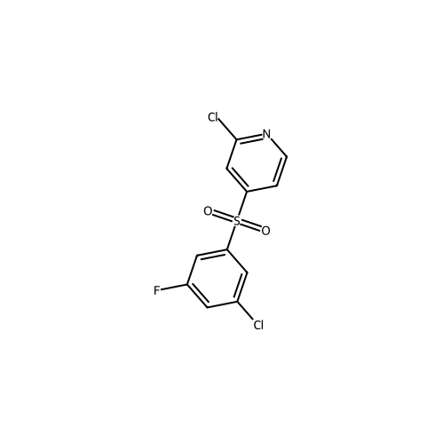 O=S(=O)(c1cc(F)cc(Cl)c1)c1ccnc(Cl)c1